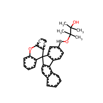 CC(C)(O)C(C)(C)OBc1ccc2c(c1)C1(c3ccccc3Oc3ccccc31)c1ccc3ccccc3c1-2